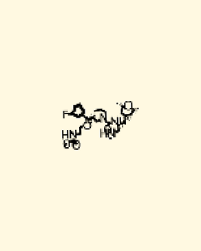 CNC[C@H](C[C@@H]1C[C@@H](C)O[C@@H](C)C1)NC(=O)N1CCC[C@@H]([C@@H](OCCNC(=O)OC)c2cccc(F)c2)C1